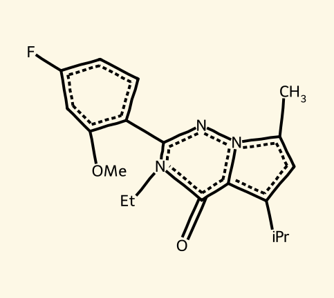 CCn1c(-c2ccc(F)cc2OC)nn2c(C)cc(C(C)C)c2c1=O